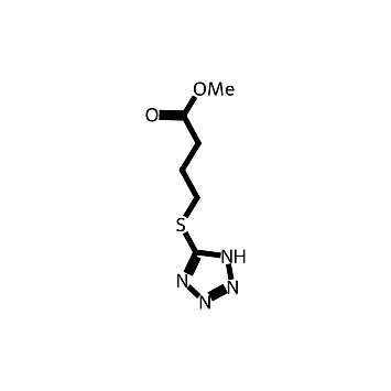 COC(=O)CCCSc1nnn[nH]1